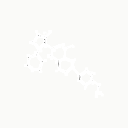 COc1nc(-c2cnc(CN)nc2)ccc1NC(=O)c1c(-c2ccccc2)nnn1C